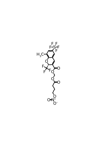 Cc1cc(S(F)(F)(F)(F)F)cc2c1O[C@H](C(F)(F)F)C(C(=O)OCOC(=O)CCCO[N+](=O)[O-])=C2